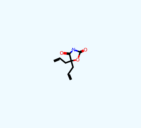 C=CCC1(CC=C)OC(=O)[N]C1=O